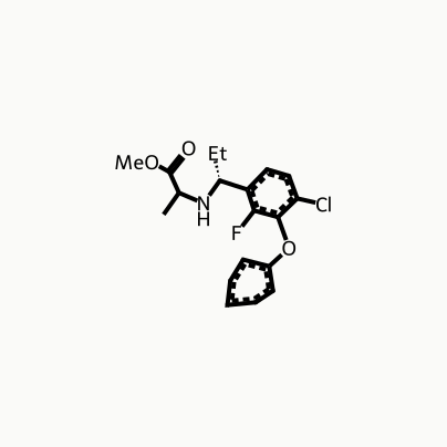 CC[C@@H](NC(C)C(=O)OC)c1ccc(Cl)c(Oc2ccccc2)c1F